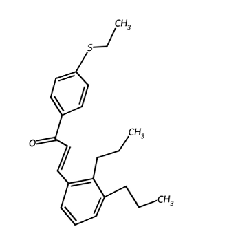 CCCc1cccc(C=CC(=O)c2ccc(SCC)cc2)c1CCC